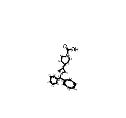 O=C(O)N1CCC(C2CN(C(c3ccccc3)c3ccccc3)C2)CC1